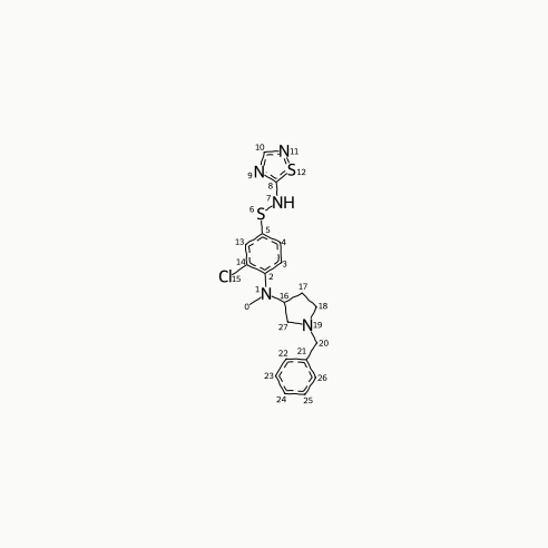 CN(c1ccc(SNc2ncns2)cc1Cl)C1CCN(Cc2ccccc2)C1